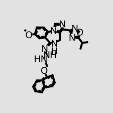 COc1ccc2c(c1)/C(=N/NNCOc1cccc3ccccc13)NCc1c(-c3noc(C(C)C)n3)ncn1-2